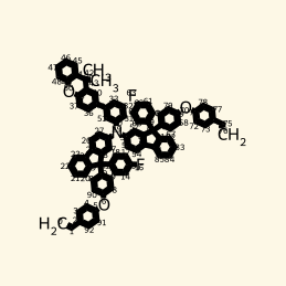 C=Cc1ccc(Oc2ccc(C3(c4ccc(F)cc4)c4ccccc4-c4ccc(N(c5cccc(-c6ccc7c(c6)C(C)(C)c6ccccc6O7)c5)c5ccc6c(c5)C(c5ccc(F)cc5)(c5ccc(Oc7ccc(C=C)cc7)cc5)c5ccccc5-6)cc43)cc2)cc1